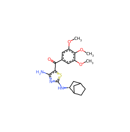 COc1cc(C(=O)c2sc(N[C@H]3CC4CCC3C4)nc2N)cc(OC)c1OC